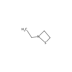 CCN1CCS1